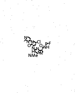 CNc1cc(Nc2cc(Cl)cn(-c3ccnc(C)n3)c2=O)nc2c(C(=O)N[C@H]3C[C@H]3F)cnn12